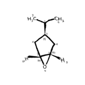 CC(C)[C@H]1C[C@@H]2O[C@@H]2C1